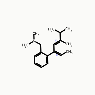 C/C=C(\C=C(/C)C(C)C)c1ccccc1CN(C)C